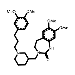 COc1ccc(CCCN2CCCC(CN3CCc4cc(OC)c(OC)cc4NC3=O)C2)cc1OC